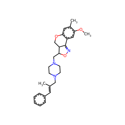 COc1cc2c(cc1C)OCC1C2=NOC1CN1CCN(C/C(C)=C/c2ccccc2)CC1